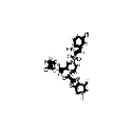 CNC(=O)C1CN(S(=O)(=O)c2cc3cc(Cl)ccc3[nH]2)CCN1C(=O)c1nc2c(s1)CNCC2C.O=C(O)C(F)(F)F